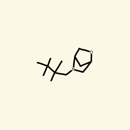 CC(C)(C)C(C)(C)CN1CC2CC1CO2